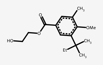 CCC(C)(C)c1cc(C(=O)OCCO)cc(C)c1OC